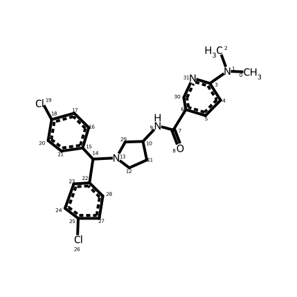 CN(C)c1ccc(C(=O)NC2CCN(C(c3ccc(Cl)cc3)c3ccc(Cl)cc3)C2)cn1